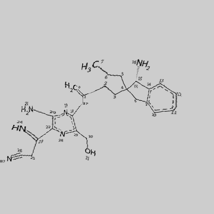 C=C(CCC1(CCC)Cc2ccccc2[C@H]1N)Cc1nc(N)c(C(=N)CC#N)nc1CO